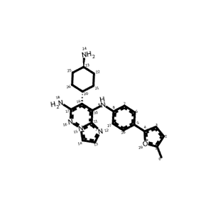 Cc1ccc(-c2ccc(Nc3c4nccn4nc(N)c3[C@H]3CC[C@H](N)CC3)cc2)o1